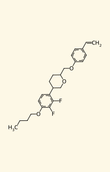 C=Cc1ccc(OCC2CCC(c3ccc(OCCCC)c(F)c3F)CO2)cc1